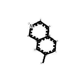 Cc1ccc2c[c]ncc2c1